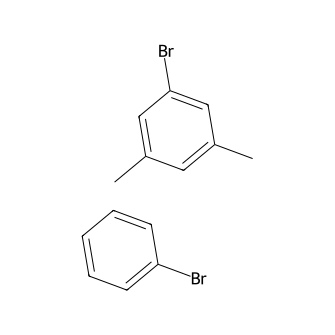 Brc1ccccc1.Cc1cc(C)cc(Br)c1